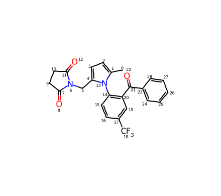 Cc1ccc(CN2C(=O)CCC2=O)n1-c1ccc(C(F)(F)F)cc1C(=O)c1ccccc1